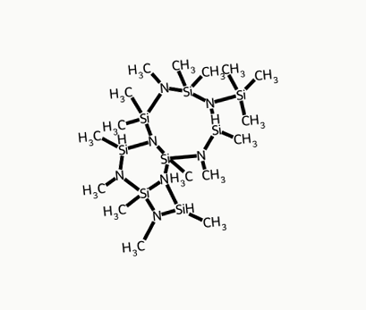 CN1[Si](C)(C)N([Si](C)(C)C)[SiH](C)N(C)[Si]2(C)N([SiH](C)N(C)[Si]3(C)N(C)[SiH](C)N32)[Si]1(C)C